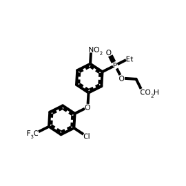 CCP(=O)(OCC(=O)O)c1cc(Oc2ccc(C(F)(F)F)cc2Cl)ccc1[N+](=O)[O-]